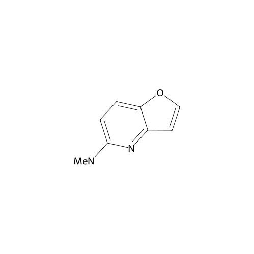 CNc1ccc2occc2n1